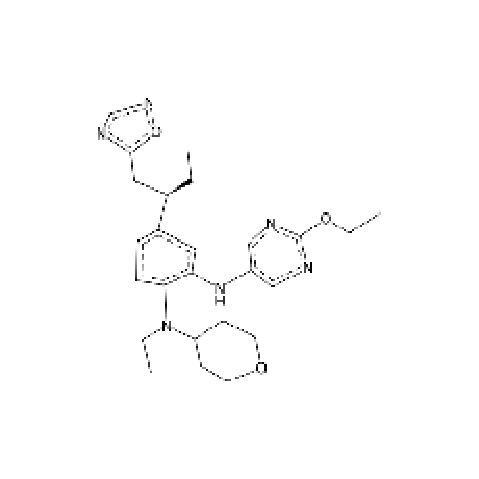 CCOc1ncc(Nc2cc([C@H](CC)Cc3ncno3)ccc2N(CC)C2CCOCC2)cn1